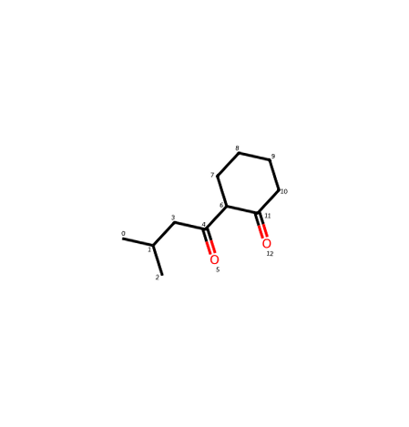 CC(C)CC(=O)C1CCCCC1=O